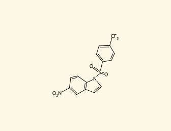 O=[N+]([O-])c1ccc2c(ccn2S(=O)(=O)c2ccc(C(F)(F)F)cc2)c1